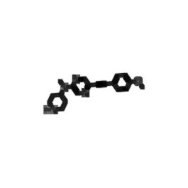 COc1ccc(C#Cc2cnc(N(C)C3CCNCC3)cn2)cc1